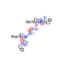 CN[C@@H](C)C(=O)N[C@@H](CCCCNC(=O)CC(=O)NCCCC[C@H](NC(=O)[C@H](C)NC)C(=O)N1CCC[C@H]1C(=O)N[C@@H]1CCCc2ccccc21)C(=O)N1CCC[C@H]1C(=O)N[C@@H]1CCCc2ccccc21